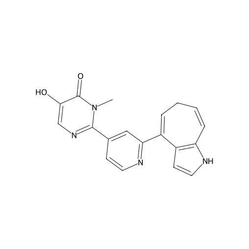 Cn1c(-c2ccnc(C3=CCC=Cc4[nH]ccc43)c2)ncc(O)c1=O